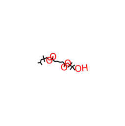 CC(C)CC(C)(C)COC(=O)CCCCC(=O)OC(C)(C)C(C)(C)CO